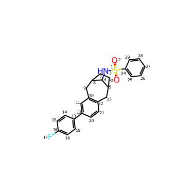 O=S(=O)(NC1C2CCC1Cc1cc(-c3ccc(F)cc3)ccc1C2)c1ccccc1